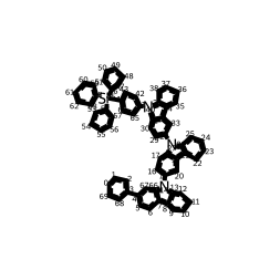 c1ccc(-c2ccc3c4ccccc4n(-c4ccc5c(c4)c4ccccc4n5-c4ccc5c(c4)c4ccccc4n5-c4ccc([Si](c5ccccc5)(c5ccccc5)c5ccccc5)cc4)c3c2)cc1